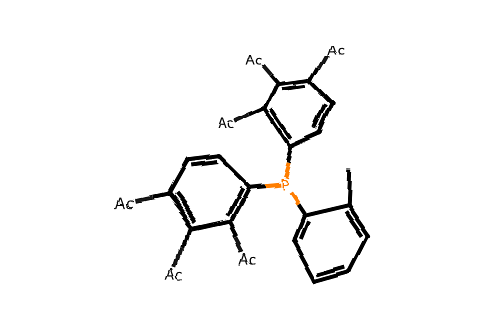 CC(=O)c1ccc(P(c2ccccc2C)c2ccc(C(C)=O)c(C(C)=O)c2C(C)=O)c(C(C)=O)c1C(C)=O